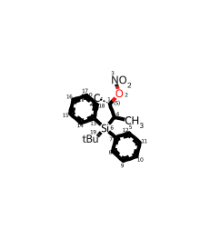 [CH2][C@H](O[N+](=O)[O-])C(C)[Si](c1ccccc1)(c1ccccc1)C(C)(C)C